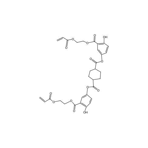 C=CC(=O)OCCOC(=O)c1cc(OC(=O)C2CCC(C(=O)Oc3ccc(O)c(C(=O)OCCOC(=O)C=C)c3)CC2)ccc1O